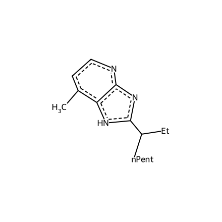 CCCCCC(CC)c1nc2nccc(C)c2[nH]1